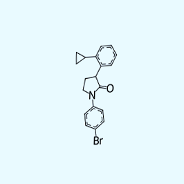 O=C1C(c2ccccc2C2CC2)CCN1c1ccc(Br)cc1